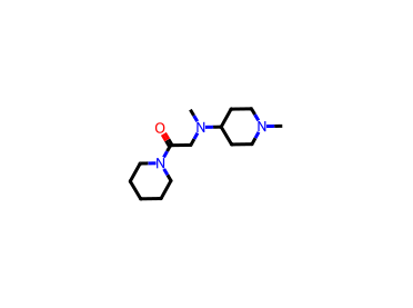 CN1CCC(N(C)CC(=O)N2CCCCC2)CC1